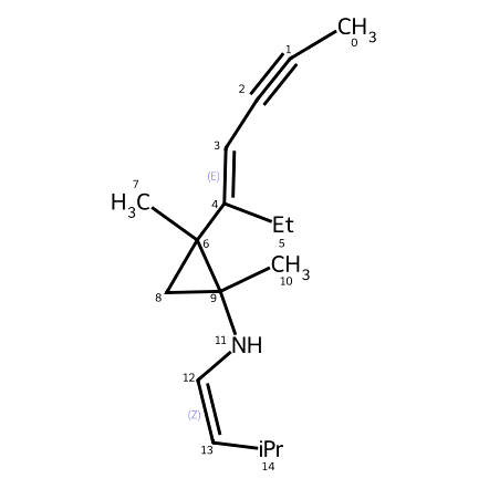 CC#C/C=C(\CC)C1(C)CC1(C)N/C=C\C(C)C